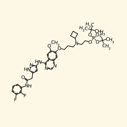 COc1cc2c(Nc3cc(CC(=O)Nc4cccc(F)c4F)[nH]n3)ncnc2cc1OCCCN(CCOP(=O)(OC(C)(C)C)OC(C)(C)C)C1CCC1